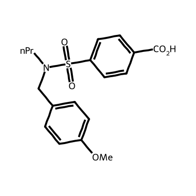 CCCN(Cc1ccc(OC)cc1)S(=O)(=O)c1ccc(C(=O)O)cc1